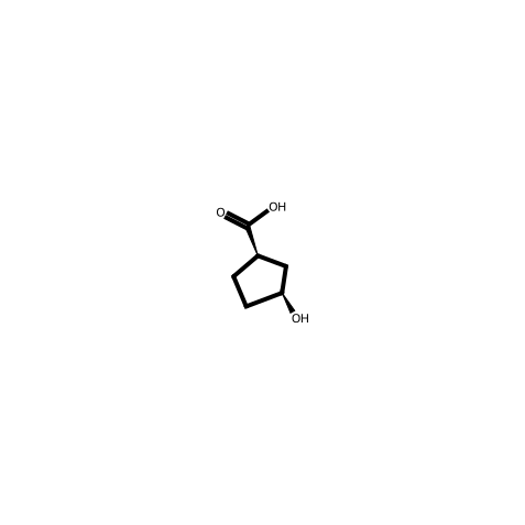 O=C(O)[C@@H]1CC[C@H](O)C1